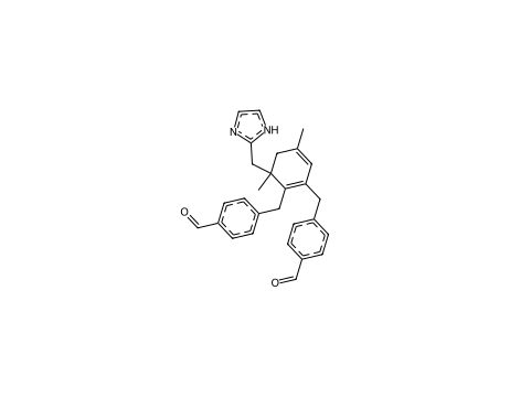 CC1=CC(Cc2ccc(C=O)cc2)=C(Cc2ccc(C=O)cc2)C(C)(Cc2ncc[nH]2)C1